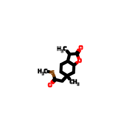 CSC(=O)CC1(C)CCC2C(C1)OC(=O)C2C